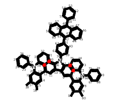 Cc1cc(-c2ccc3c(c2)c2cc(-c4cc(C)c(C)cc4N(c4ccccc4)c4ccccc4)ccc2n3-c2ccc(-c3c4ccccc4c(-c4ccccc4)c4ccccc34)cc2)c(N(c2ccccc2)c2ccccc2)cc1C